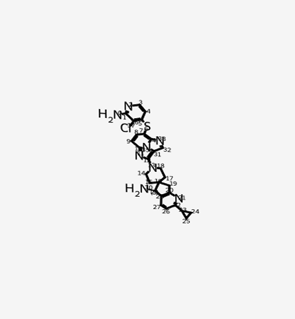 Nc1nccc(Sc2ccc3nc(N4CCC5(CC4)Cc4nc(C6CC6)ccc4[C@H]5N)c4cnc2n34)c1Cl